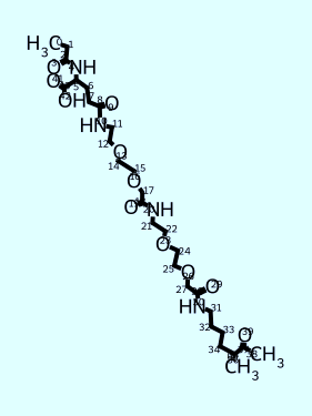 CCC(=O)NC(CCC(=O)NCCOCCOCC(=O)NCCOCCOCC(=O)NCCCC[C@H](C)C(C)=O)C(=O)O